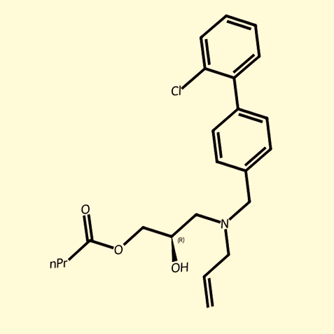 C=CCN(Cc1ccc(-c2ccccc2Cl)cc1)C[C@@H](O)COC(=O)CCC